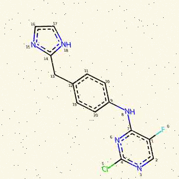 Fc1cnc(Cl)nc1Nc1ccc(Cc2ncc[nH]2)cc1